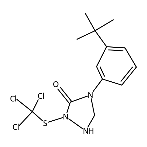 CC(C)(C)c1cccc(N2CNN(SC(Cl)(Cl)Cl)C2=O)c1